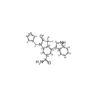 CC1(C)C(=O)N(Cc2ccsc2)c2cc(C(N)=O)cc(-c3c[nH]c4ccccc34)c21